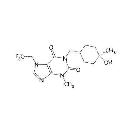 Cn1c(=O)n(C[C@H]2CC[C@](C)(O)CC2)c(=O)c2c1ncn2CC(F)(F)F